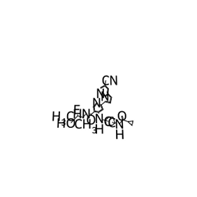 CC(C)(O)C(F)CNC(=O)c1cnc(-c2ccc3cc(C#N)cnn23)cc1NC12CCC(NC(=O)C3CC3)(CC1)CC2